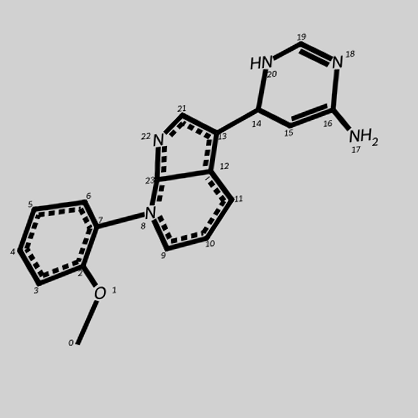 COc1ccccc1-n1cccc2c(C3C=C(N)N=CN3)cnc1-2